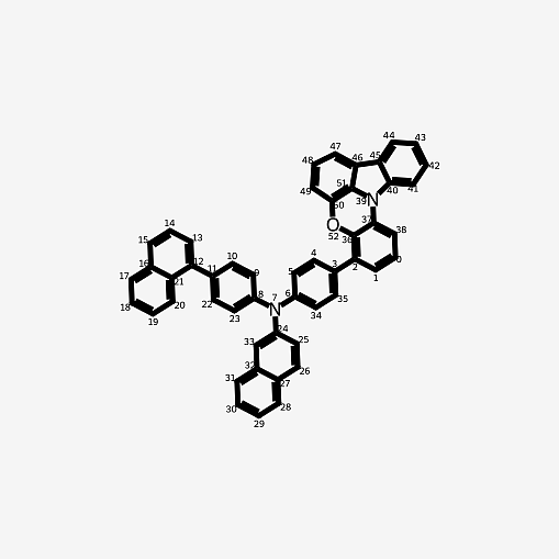 c1cc(-c2ccc(N(c3ccc(-c4cccc5ccccc45)cc3)c3ccc4ccccc4c3)cc2)c2c(c1)-n1c3ccccc3c3cccc(c31)O2